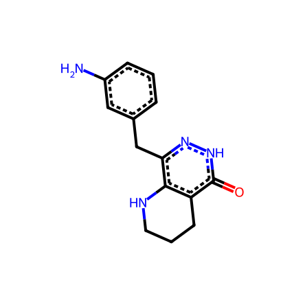 Nc1cccc(Cc2n[nH]c(=O)c3c2NCCC3)c1